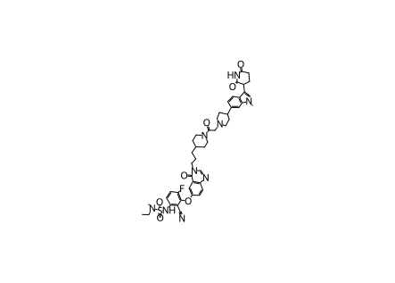 CCN(C)S(=O)(=O)Nc1ccc(F)c(Oc2ccc3ncn(CCCC4CCN(C(=O)CN5CCC(c6ccc7c(C8CCC(=O)NC8=O)cn(C)c7c6)CC5)CC4)c(=O)c3c2)c1C#N